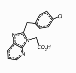 O=C(O)Cn1c(Cc2ccc(Cl)cc2)nc2cccnc21